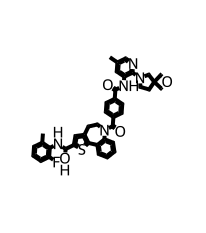 Cc1cnc(N2CCC3(COC3)C2)c(NC(=O)c2ccc(C(=O)N3CCc4cc(C(O)Nc5c(C)cccc5F)sc4-c4ccccc43)cc2)c1